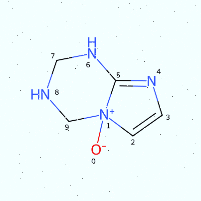 [O-][N+]12C=CN=C1NCNC2